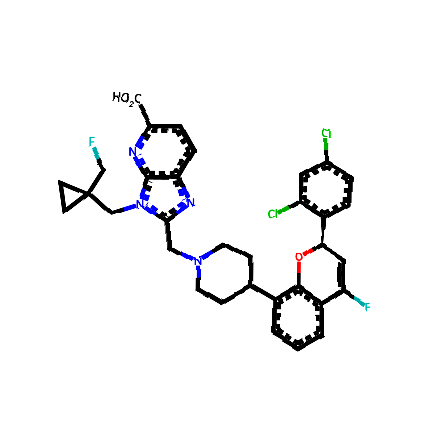 O=C(O)c1ccc2nc(CN3CCC(c4cccc5c4O[C@@H](c4ccc(Cl)cc4Cl)C=C5F)CC3)n(CC3(CF)CC3)c2n1